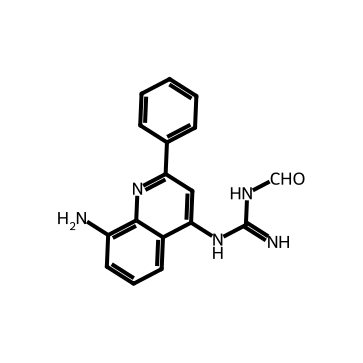 N=C(NC=O)Nc1cc(-c2ccccc2)nc2c(N)cccc12